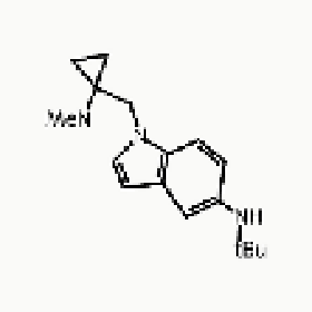 CNC1(Cn2ccc3cc(NC(C)(C)C)ccc32)CC1